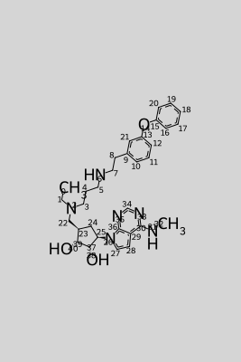 CCN(CCCNCCc1cccc(Oc2ccccc2)c1)C[C@H]1C[C@@H](n2ccc3c(NC)ncnc32)[C@H](O)[C@@H]1O